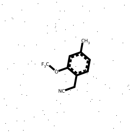 Cc1ccc(CC#N)c(OC(F)(F)F)c1